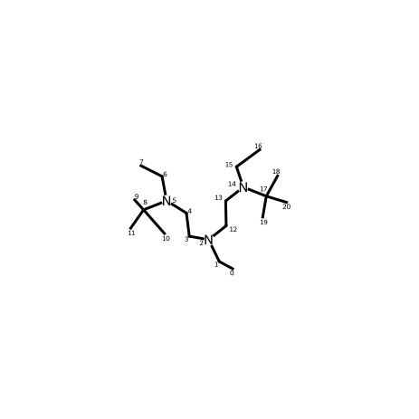 CCN(CCN(CC)C(C)(C)C)CCN(CC)C(C)(C)C